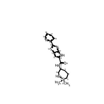 C[Si]1(C)CCCC(NC(=O)c2cc3sc(-c4ccccn4)nc3[nH]2)CN1